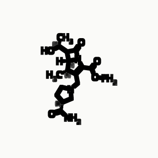 C[C@@H](O)C1C(=O)N2C(C(=O)OP)=C(CN3CC[C@@H](C(N)=O)C3)[C@H](C)[C@H]12